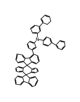 C1=CCCC(c2cccc(N(c3ccc(-c4ccccc4)cc3)c3cccc(-c4cccc5c4-c4ccccc4C54c5ccccc5C5(c6ccccc6-c6ccccc65)c5ccccc54)c3)c2)=C1